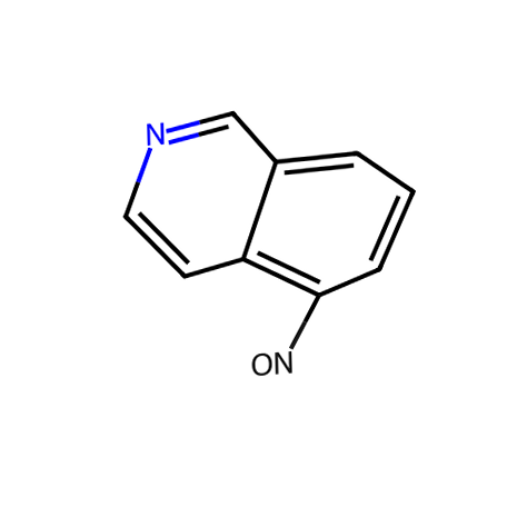 O=Nc1cccc2cnccc12